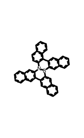 c1ccc2cc3c(cc2c1)B1c2cc4ccccc4cc2-c2c(ccc4ccccc24)N1c1cc2ccccc2cc1-3